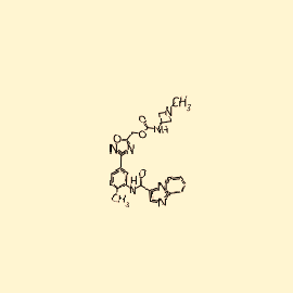 Cc1ccc(-c2noc(COC(=O)NC3CN(C)C3)n2)cc1NC(=O)c1cnc2ccccn12